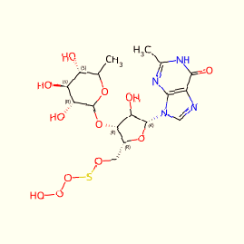 Cc1nc2c(ncn2[C@@H]2O[C@H](COSOOO)[C@H](OC3OC(C)[C@@H](O)[C@H](O)[C@H]3O)C2O)c(=O)[nH]1